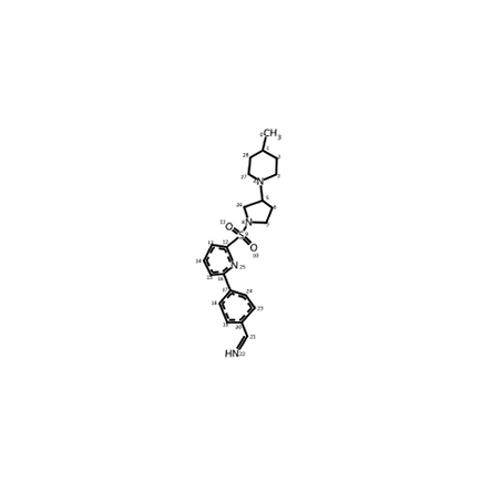 CC1CCN(C2CCN(S(=O)(=O)c3cccc(-c4ccc(C=N)cc4)n3)C2)CC1